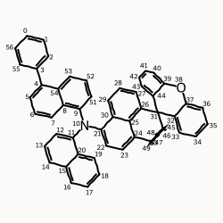 c1ccc(-c2cccc3c(N(c4cccc5ccccc45)c4ccc5c6c(cccc46)C4(c6ccccc6Oc6ccccc64)c4ccccc4-5)cccc23)cc1